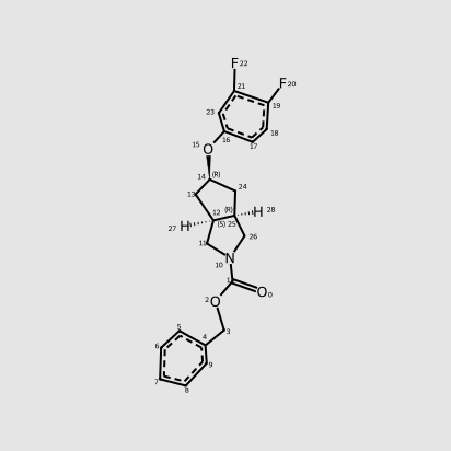 O=C(OCc1ccccc1)N1C[C@H]2C[C@@H](Oc3ccc(F)c(F)c3)C[C@H]2C1